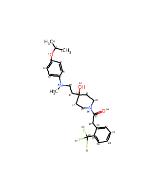 CC(C)Oc1ccc(N(C)CCC2(O)CCN(C(=O)Cc3ccccc3C(F)(F)F)CC2)cc1